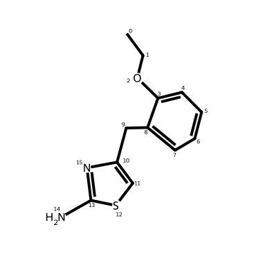 CCOc1ccccc1Cc1csc(N)n1